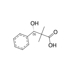 CC(C)(C(=O)O)[C@@H](O)c1ccccc1